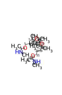 CNC(C)OCCC[Si](C)(C)O[Si](C)(C)O[Si](C)(C)CCCOC(C)NC